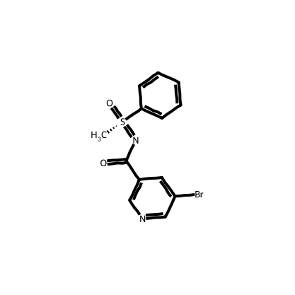 C[S@@](=O)(=NC(=O)c1cncc(Br)c1)c1ccccc1